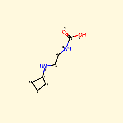 O=C(O)NCCNC1CCC1